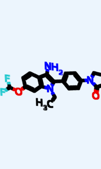 CCn1c(-c2ccc(N3CCCC3=O)cc2)c(N)c2ccc(OC(F)F)cc21